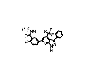 CNC(=O)c1cc(-c2cc(C(F)(F)F)c3c(-c4ccccc4)n[nH]c3n2)ccc1F